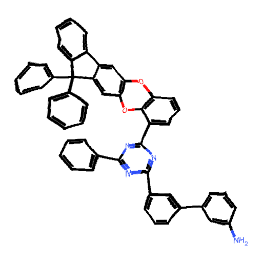 Nc1cccc(-c2cccc(-c3nc(-c4ccccc4)nc(-c4cccc5c4Oc4cc6c(cc4O5)-c4ccccc4C6(c4ccccc4)c4ccccc4)n3)c2)c1